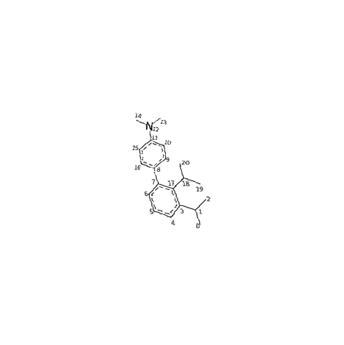 CC(C)c1cccc(-c2ccc(N(C)C)cc2)c1C(C)C